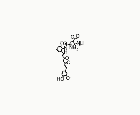 CCNC(=O)C(C[C@H](N)C(=O)Nc1c(C=CC(=O)CC(=O)C=Cc2ccc(O)c(OC)c2)cccc1OC)C(=O)C=O